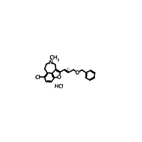 CN1CCc2c(Cl)ccc3oc(/C=C/COCc4ccccc4)c(c23)C1.Cl